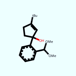 COC(OC)c1ccccc1C1(O)C=C(C(C)(C)C)CC1